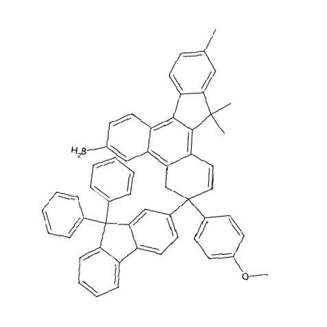 Bc1ccc2c3c(c4c(c2c1)CC(c1ccc(OC)cc1)(c1ccc2c(c1)C(c1ccccc1)(c1ccccc1)c1ccccc1-2)C=C4)C(C)(C)c1cc(C)ccc1-3